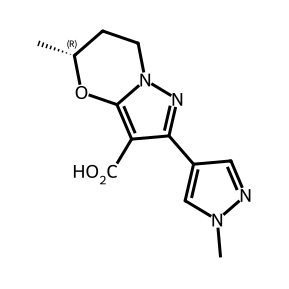 C[C@@H]1CCn2nc(-c3cnn(C)c3)c(C(=O)O)c2O1